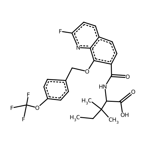 CCC(C)(C)C(NC(=O)c1ccc2ccc(F)nc2c1OCc1ccc(OC(F)(F)F)cc1)C(=O)O